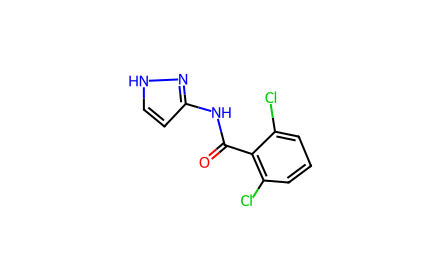 O=C(Nc1cc[nH]n1)c1c(Cl)cccc1Cl